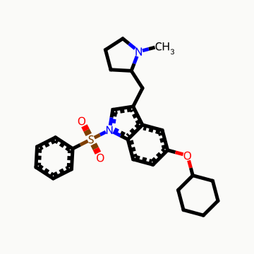 CN1CCCC1Cc1cn(S(=O)(=O)c2ccccc2)c2ccc(OC3CCCCC3)cc12